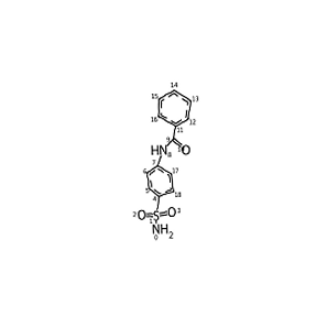 NS(=O)(=O)c1ccc(NC(=O)c2ccccc2)cc1